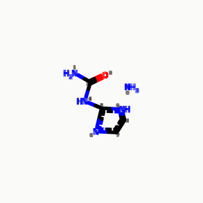 N.NC(=O)Nc1ncc[nH]1